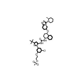 C[C@H]1CCCCN1c1nnc2ccc(O[C@@H]3CC[C@H](NC(=O)Nc4cc(C(C)(C)C)nn4-c4cc(Cl)cc(OCCOS(C)(=O)=O)c4)c4ccccc43)cn12